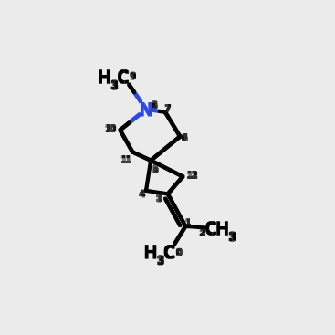 CC(C)=C1CC2(CCN(C)CC2)C1